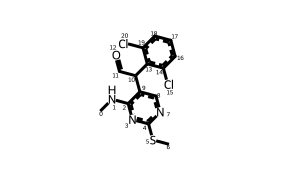 CNc1nc(SC)ncc1C(C=O)c1c(Cl)cccc1Cl